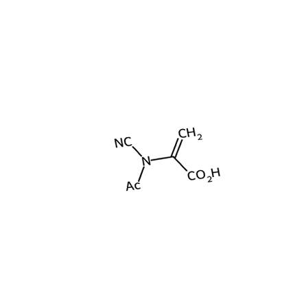 C=C(C(=O)O)N(C#N)C(C)=O